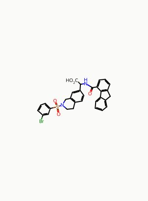 O=C(NC(C(=O)O)c1ccc2c(c1)CN(S(=O)(=O)c1cccc(Br)c1)CC2)c1cccc2c1-c1ccccc1C2